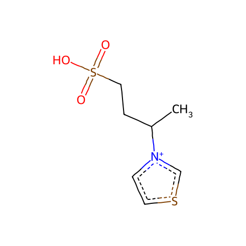 CC(CCS(=O)(=O)O)[n+]1ccsc1